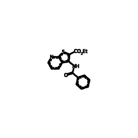 CCOC(=O)c1sc2ncccc2c1NC(=O)c1ccccc1